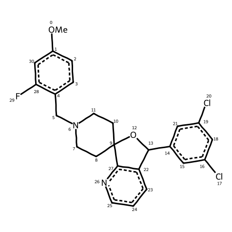 COc1ccc(CN2CCC3(CC2)OC(c2cc(Cl)cc(Cl)c2)c2cccnc23)c(F)c1